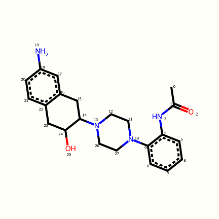 CC(=O)Nc1ccccc1N1CCN(C2Cc3cc(N)ccc3CC2O)CC1